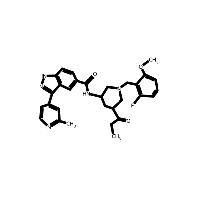 CCC(=O)C1CC(NC(=O)c2ccc3[nH]nc(-c4ccnc(C)c4)c3c2)CN(Cc2c(F)cccc2OC)C1